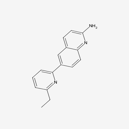 CCc1cccc(-c2ccc3nc(N)ccc3c2)n1